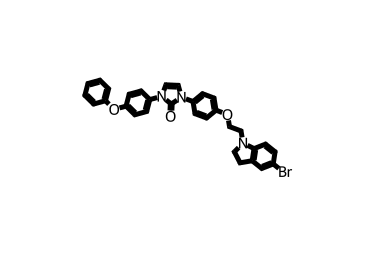 O=c1n(-c2ccc(OCCN3CCc4cc(Br)ccc43)cc2)ccn1-c1ccc(Oc2ccccc2)cc1